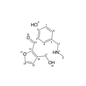 CNCc1ccccc1.Cl.O=Cc1occc1CO